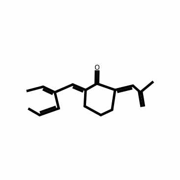 C=C(C)/C=C1\CCC\C(=C/C(/C=C\C)=C/C)C1=O